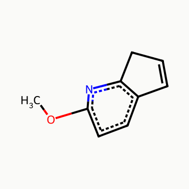 COc1ccc2c(n1)CC=C2